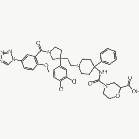 COc1ccc(-n2cnnn2)cc1C(=O)N1CCC(CCN2CCC(NC(=O)N3CCOC(C(=O)O)C3)(c3ccccc3)CC2)(c2ccc(Cl)c(Cl)c2)C1